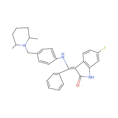 CC1CCCC(C)N1Cc1ccc(NC(=C2C(=O)Nc3cc(F)ccc32)c2ccccc2)cc1